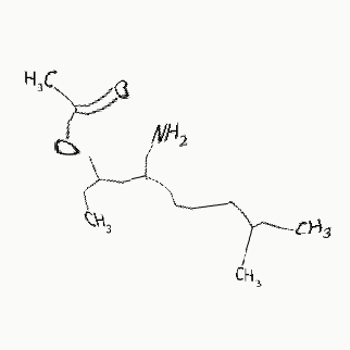 CC(=O)OC(C)[C](N)CCC(C)C